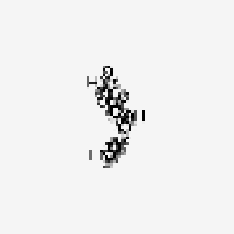 O=C1CCC(N2C(=O)c3ccc(C4(O)CCN(Cc5ccc6[nH]ccc6c5)CC4)cc3C2=O)C(=O)N1